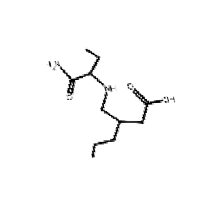 CCCC(CNC(CC)C(N)=O)CC(=O)O